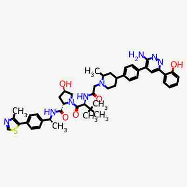 Cc1ncsc1-c1ccc([C@H](C)NC(=O)[C@@H]2C[C@@H](O)CN2C(=O)[C@@H](NC(=O)CN2CCC(c3ccc(-c4cc(-c5ccccc5O)nnc4N)cc3)CC2C)C(C)(C)C)cc1